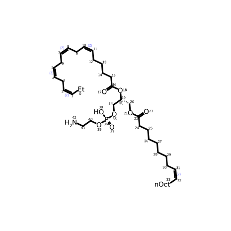 CC/C=C\C/C=C\C/C=C\C/C=C\CCCCC(=O)O[C@H](COC(=O)CCCCCCC/C=C\CCCCCCCC)COP(=O)(O)OCCN